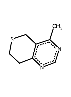 Cc1ncnc2c1CSCC2